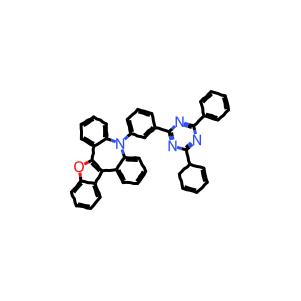 C1=CCC(c2nc(-c3ccccc3)nc(-c3cccc(N4c5ccccc5-c5oc6ccccc6c5-c5ccccc54)c3)n2)C=C1